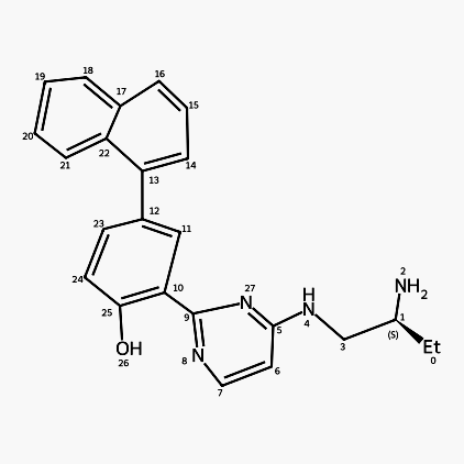 CC[C@H](N)CNc1ccnc(-c2cc(-c3cccc4ccccc34)ccc2O)n1